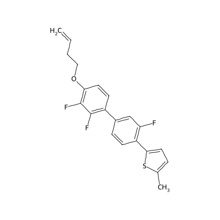 C=CCCOc1ccc(-c2ccc(-c3ccc(C)s3)c(F)c2)c(F)c1F